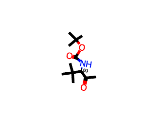 CC(=O)[C@@H](NC(=O)OC(C)(C)C)C(C)(C)C